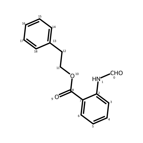 O=CNc1ccccc1C(=O)OCCc1ccccc1